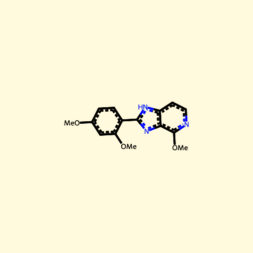 COc1ccc(-c2nc3c(OC)nccc3[nH]2)c(OC)c1